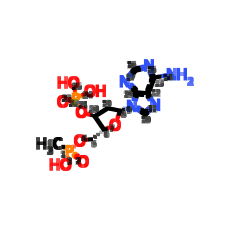 CP(=O)(O)OC[C@H]1O[C@@H](n2cnc3c(N)ncnc32)C[C@@H]1OP(=O)(O)O